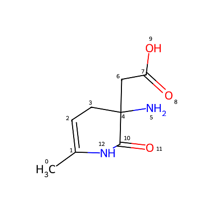 CC1=CCC(N)(CC(=O)O)C(=O)N1